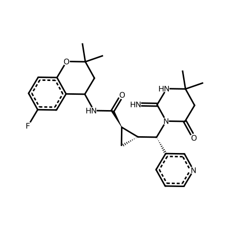 CC1(C)CC(=O)N([C@H](c2cccnc2)[C@@H]2C[C@H]2C(=O)NC2CC(C)(C)Oc3ccc(F)cc32)C(=N)N1